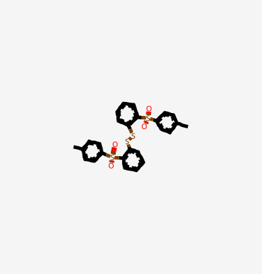 Cc1ccc(S(=O)(=O)c2ccccc2SSc2ccccc2S(=O)(=O)c2ccc(C)cc2)cc1